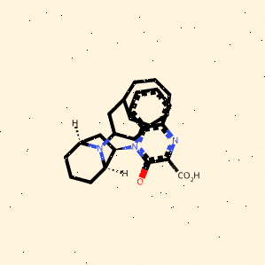 O=C(O)c1nc2ccccc2n([C@@H]2C[C@@H]3CCC[C@H]2N3C2CC3CCCCC(C3)C2)c1=O